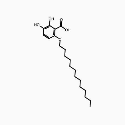 CCCCCCCCCCCCCOc1ccc(O)c(O)c1C(=O)O